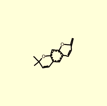 C=C1C=Cc2cc3c(cc2O1)OC(C)(C)C=C3